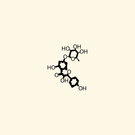 C[C@H]1O[C@H](Oc2cc(O)c3c(=O)c(O)c(-c4ccc(O)cc4)oc3c2)[C@@H](O)[C@@H](O)[C@@H]1O